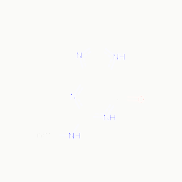 CCCNc1nc2nc[nH]c2c(=O)[nH]1